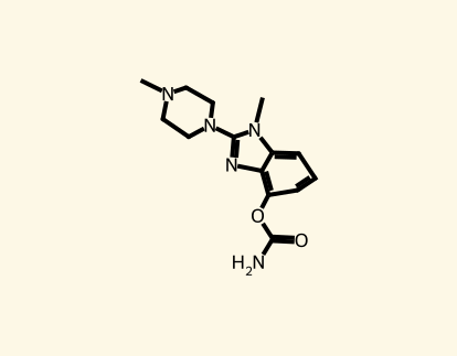 CN1CCN(c2nc3c(OC(N)=O)cccc3n2C)CC1